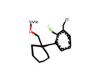 CCc1cccc(C2(COSC)CCCC2)c1F